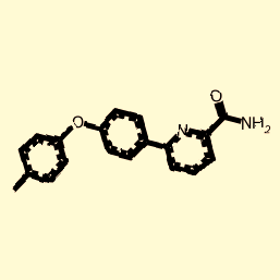 Cc1ccc(Oc2ccc(-c3cccc(C(N)=O)n3)cc2)cc1